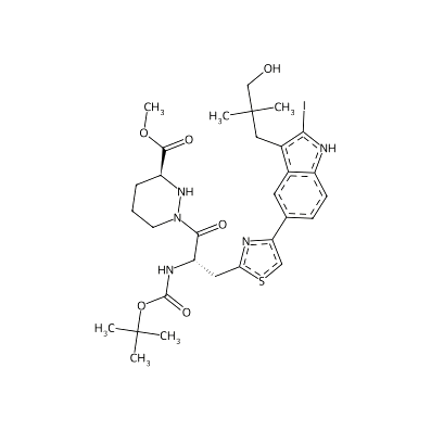 COC(=O)[C@@H]1CCCN(C(=O)[C@H](Cc2nc(-c3ccc4[nH]c(I)c(CC(C)(C)CO)c4c3)cs2)NC(=O)OC(C)(C)C)N1